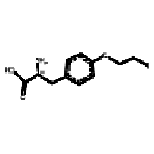 N[C@@H](Cc1ccc(OCCI)cc1)C(=O)O